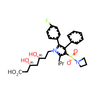 CC(C)c1c(S(=O)(=O)N2CCC2)c(-c2ccccc2)c(-c2ccc(F)cc2)n1CC[C@@H](O)C[C@@H](O)CC(=O)O